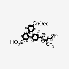 CCCCCCCCCCOc1ccc(-c2ccc(C(=O)O)cc2-c2ccc(C(=O)O[C@H](CCC(C)C)C(F)(F)F)c(F)c2)cc1